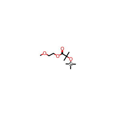 COCCOC(=O)C(C)(C)O[Si](C)(C)C